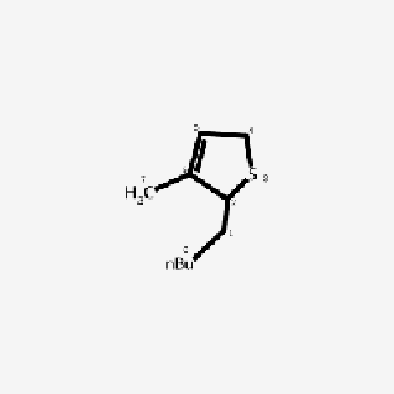 CCCCCC1SCC=C1C